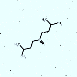 CC(C)CC[PH](=S)CCC(C)C